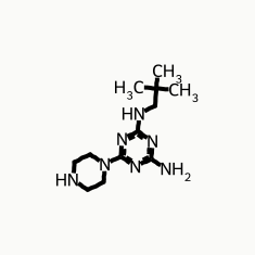 CC(C)(C)CNc1nc(N)nc(N2CCNCC2)n1